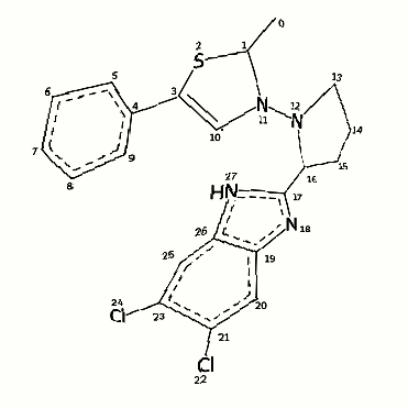 CC1SC(c2ccccc2)=[C]N1N1CCCC1c1nc2cc(Cl)c(Cl)cc2[nH]1